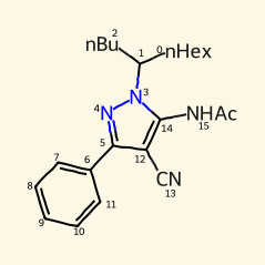 CCCCCCC(CCCC)n1nc(-c2ccccc2)c(C#N)c1NC(C)=O